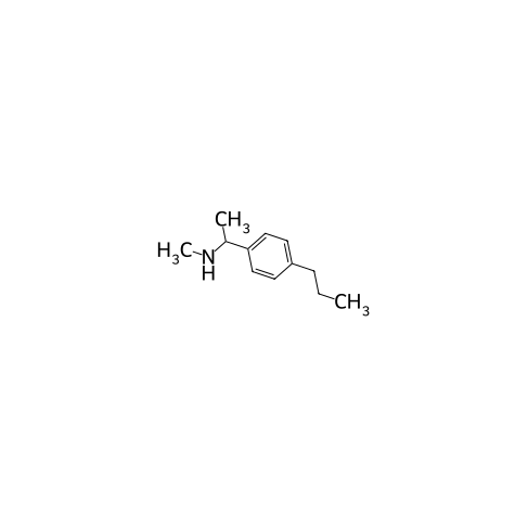 CCCc1ccc(C(C)NC)cc1